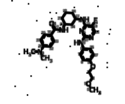 COCCOc1ccc(Nc2ncc(F)c(NC3CCCC(NC(=O)c4ccc(N(C)C)cc4)C3)n2)cc1